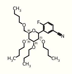 CCCCOC[C@H]1OC(c2cc(C#N)ccc2F)[C@H](OCCCC)[C@@H](OCCCC)[C@@H]1OCCCC